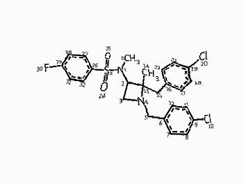 CN(C1CN(Cc2ccc(Cl)cc2)C1(C)Cc1ccc(Cl)cc1)S(=O)(=O)c1ccc(F)cc1